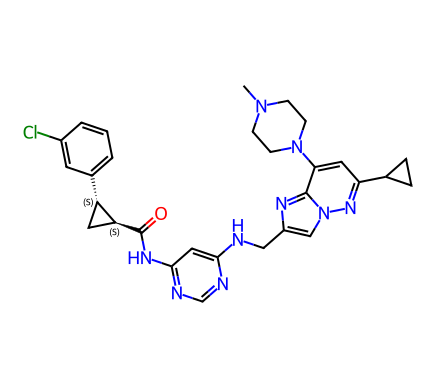 CN1CCN(c2cc(C3CC3)nn3cc(CNc4cc(NC(=O)[C@H]5C[C@@H]5c5cccc(Cl)c5)ncn4)nc23)CC1